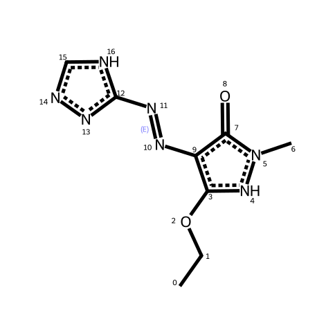 CCOc1[nH]n(C)c(=O)c1/N=N/c1nnc[nH]1